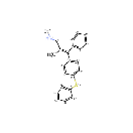 CCNCC(C)=C(c1ccccc1)c1ccc(Sc2ccccc2)cc1